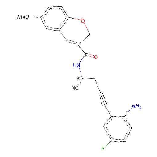 COc1ccc2c(c1)C=C(C(=O)N[C@@H](C#N)CC#Cc1cc(F)ccc1N)CO2